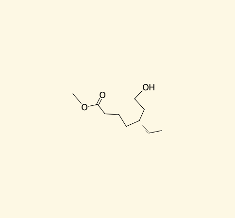 CC[C@@H](CCO)CCCC(=O)OC